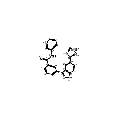 O=C(Nc1cccnc1)c1cccc(-c2n[nH]c3ccc(-c4nc[nH]n4)cc23)c1